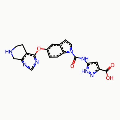 O=C(O)c1cc(NC(=O)n2ccc3cc(Oc4ncnc5c4CCNC5)ccc32)[nH]n1